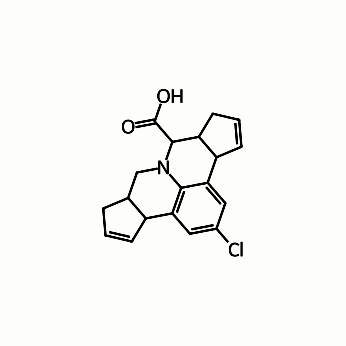 O=C(O)C1C2CC=CC2c2cc(Cl)cc3c2N1CC1CC=CC31